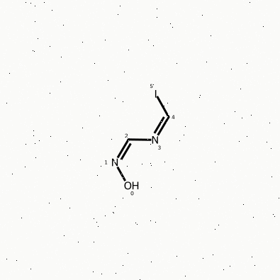 O/N=C\N=C/I